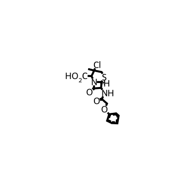 CC1(Cl)CS[C@H]2C(NC(=O)COc3ccccc3)C(=O)N2C1C(=O)O